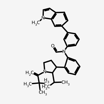 C=C(N1CCC(c2ccccc2N(C=O)c2cccc(-c3ccc4ccn(C)c4c3)c2)C1C(C)C)C(C)(C)C